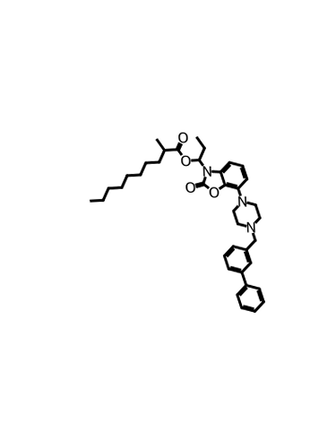 CCCCCCCCC(C)C(=O)OC(CC)n1c(=O)oc2c(N3CCN(Cc4cccc(-c5ccccc5)c4)CC3)cccc21